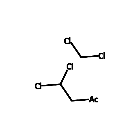 CC(=O)CC(Cl)Cl.ClCCl